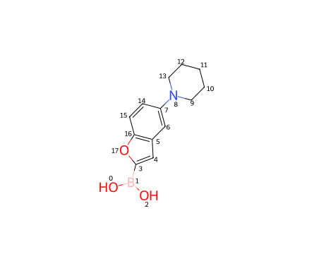 OB(O)c1cc2cc(N3CCCCC3)ccc2o1